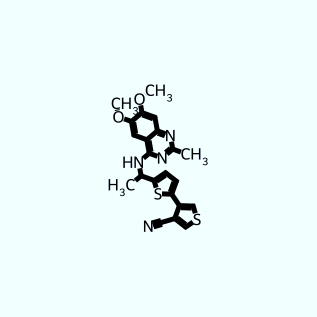 COc1cc2nc(C)nc(NC(C)c3ccc(-c4cscc4C#N)s3)c2cc1OC